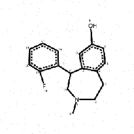 CN1CCc2ccc(O)cc2C(c2ccccc2F)C1